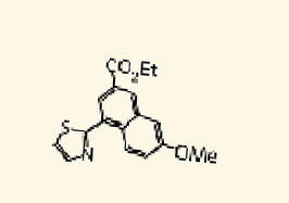 CCOC(=O)c1cc(-c2nccs2)c2ccc(OC)cc2c1